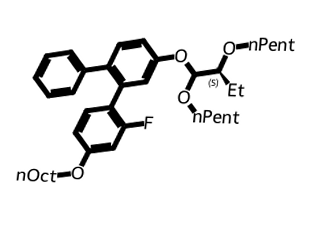 CCCCCCCCOc1ccc(-c2cc(OC(OCCCCC)[C@H](CC)OCCCCC)ccc2-c2ccccc2)c(F)c1